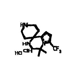 CC1(C)CNC2(CCNCC2)c2ccc(C(F)(F)F)n21.Cl.Cl